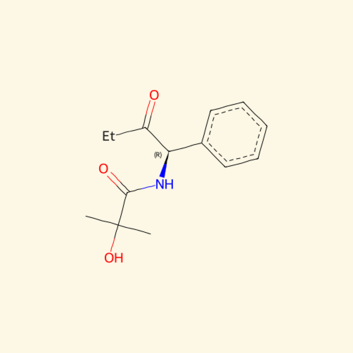 CCC(=O)[C@H](NC(=O)C(C)(C)O)c1ccccc1